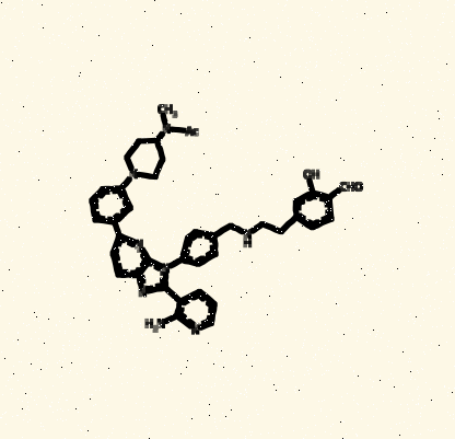 CC(=O)N(C)C1CCN(c2cccc(-c3ccc4nc(-c5cccnc5N)n(-c5ccc(CNCCc6ccc(C=O)c(O)c6)cc5)c4n3)c2)CC1